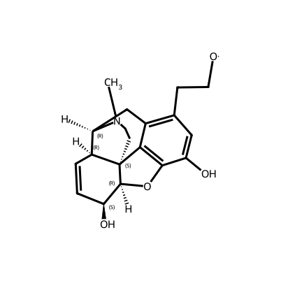 CN1CC[C@]23c4c5c(CC[O])cc(O)c4O[C@H]2[C@@H](O)C=C[C@H]3[C@H]1C5